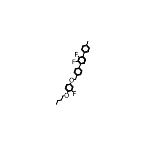 CCCCOc1ccc(OCc2ccc(-c3ccc(-c4ccc(C)cc4)c(F)c3F)cc2)cc1F